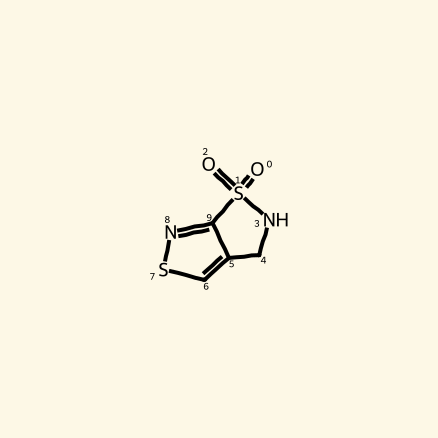 O=S1(=O)NCc2csnc21